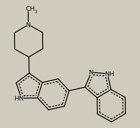 CN1CCC(c2c[nH]c3ccc(-c4n[nH]c5ccccc45)cc23)CC1